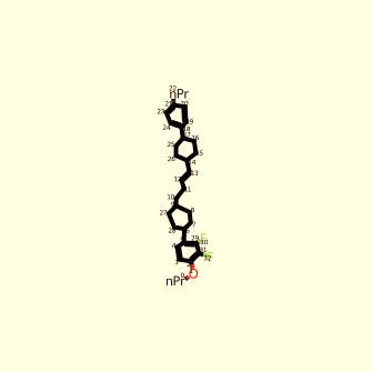 CCCOc1ccc(C2CCC(CC/C=C/C3CCC(c4ccc(CCC)cc4)CC3)CC2)c(F)c1F